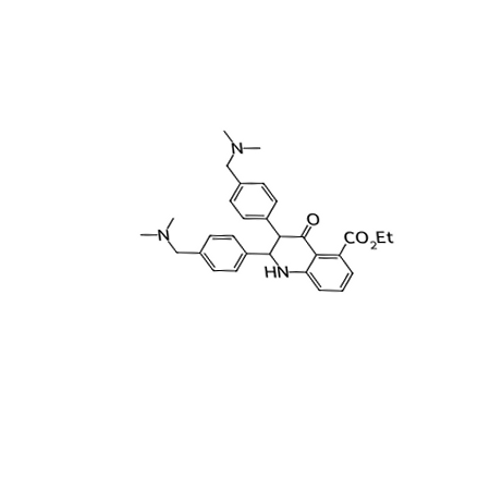 CCOC(=O)c1cccc2c1C(=O)C(c1ccc(CN(C)C)cc1)C(c1ccc(CN(C)C)cc1)N2